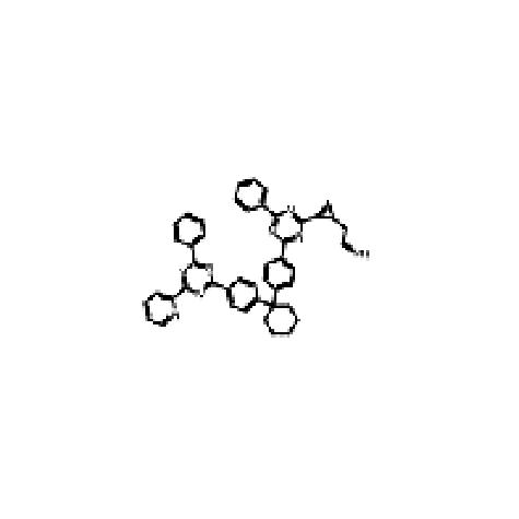 N=CCC1C=C1c1nc(-c2ccccc2)nc(-c2ccc(C3(c4ccc(-c5nc(-c6ccccc6)nc(-c6ccccn6)n5)cc4)CCCCC3)cc2)n1